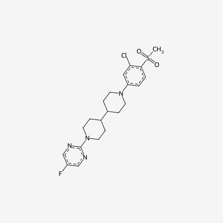 CS(=O)(=O)c1ccc(N2CCC(C3CCN(c4ncc(F)cn4)CC3)CC2)cc1Cl